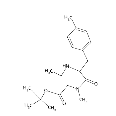 CCNC(Cc1ccc(C)cc1)C(=O)N(C)CC(=O)OC(C)(C)C